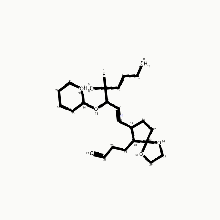 CCCCC(C)(F)C(/C=C/C1CCC2(OCCO2)C1CCC=O)OC1CCCCO1